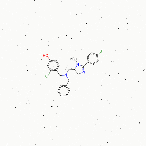 CCCCN1C(c2ccc(F)cc2)=NCC1CN(Cc1ccccc1)Cc1ccc(O)cc1Cl